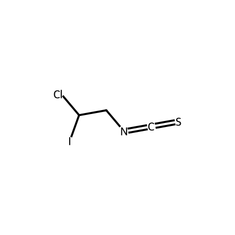 S=C=NCC(Cl)I